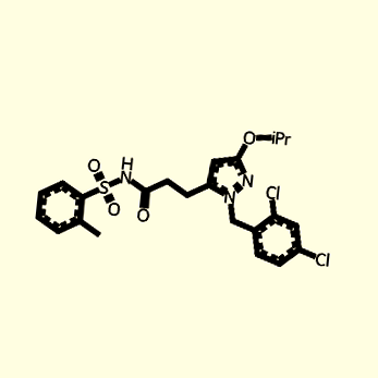 Cc1ccccc1S(=O)(=O)NC(=O)CCc1cc(OC(C)C)nn1Cc1ccc(Cl)cc1Cl